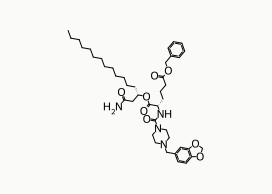 CCCCCCCCCCCCC[C@@H](CC(N)=O)OC(=O)[C@H](CCCC(=O)OCc1ccccc1)NC(=O)N1CCN(Cc2ccc3c(c2)OCO3)CC1